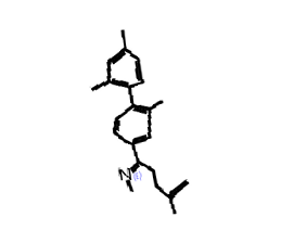 C=C(C)CC/C(=N\C)c1ccc(-c2ccc(C)cc2C)c(C)c1